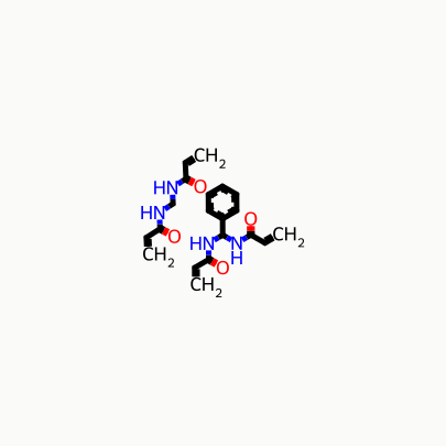 C=CC(=O)NC(NC(=O)C=C)c1ccccc1.C=CC(=O)NCNC(=O)C=C